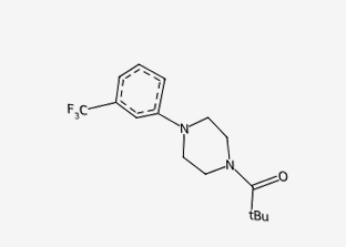 CC(C)(C)C(=O)N1CCN(c2cccc(C(F)(F)F)c2)CC1